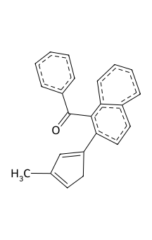 CC1=CCC(c2ccc3ccccc3c2C(=O)c2ccccc2)=C1